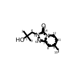 CC(C)(O)Cn1nc2cc(I)ccn2c1=O